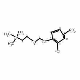 C[Si](C)(C)CCOCOc1ccc([N+](=O)[O-])cc1Cl